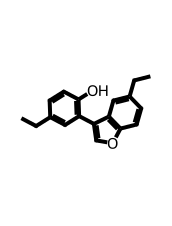 CCc1ccc(O)c(-c2coc3ccc(CC)cc23)c1